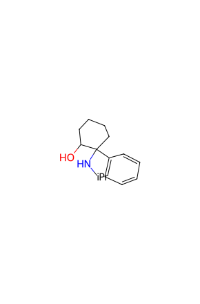 CC(C)NC1(c2ccccc2)CCCCC1O